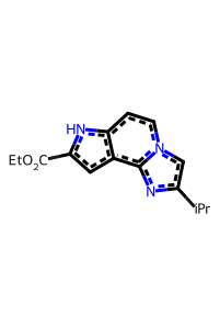 CCOC(=O)c1cc2c(ccn3cc(C(C)C)nc23)[nH]1